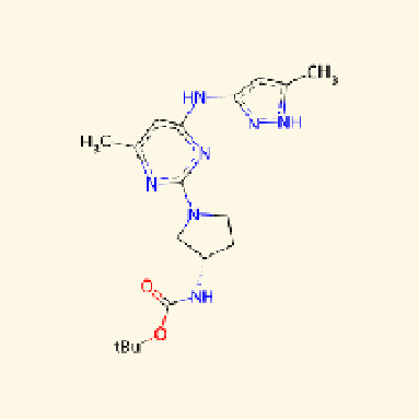 Cc1cc(Nc2cc(C)[nH]n2)nc(N2CC[C@H](NC(=O)OC(C)(C)C)C2)n1